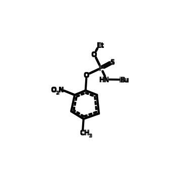 CCOP(=S)(NC(C)CC)Oc1ccc(C)cc1[N+](=O)[O-]